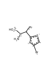 C[C](C)C(c1nc(Br)cs1)N(N)C(=O)O